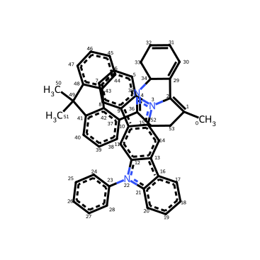 C/C1=C(/n2c3ccccc3c3cc4c(cc32)c2ccccc2n4-c2ccccc2)C2=CC=CCC2/N=C(/c2cccc3c2-c2ccccc2C3(C)C)CC1